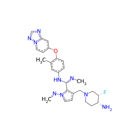 C=Nn1ccc(CN2CC[C@@H](N)[C@@H](F)C2)c1/C(=N\C)Nc1ccc(Oc2ccn3ncnc3c2)c(C)c1